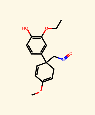 CCOc1cc(C2(CN=O)C=CC(OC)=CC2)ccc1O